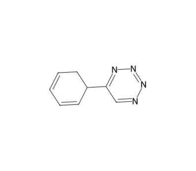 C1=CCC(c2cnnnn2)C=C1